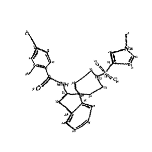 Cc1cc(Cl)ccc1C(=O)NC1Cc2ccccc2C12CCN(S(=O)(=O)c1cn(C)cn1)CC2